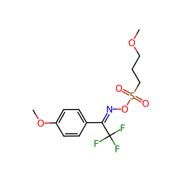 COCCCS(=O)(=O)ON=C(c1ccc(OC)cc1)C(F)(F)F